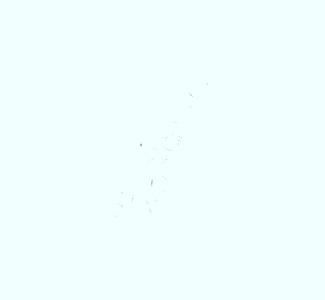 CC(C)n1c(=O)c(-c2ccc(NS(=O)(=O)Cc3ccccc3C#N)c(F)c2)nc2cnc(N[C@H]3C[C@H](F)CN(C(=O)OC(C)(C)C)C3)nc21